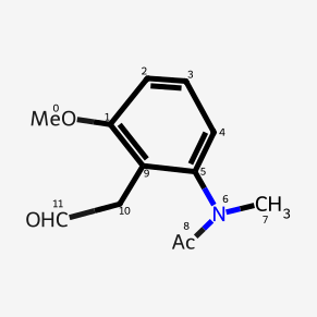 COc1cccc(N(C)C(C)=O)c1CC=O